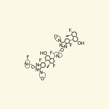 C#Cc1c(F)ccc2cc(O)cc(-c3ccc4c(N5CCOCC5)nc(OCC56CCCN5C(c5cc(F)c(C#C)c7c(-c8ccc9c(N%10CCCOCC%10)nc(OCC%10%11CCCN%10CC(F)C%11)nc9c8F)cc(O)cc57)C(F)C6)nc4c3F)c12